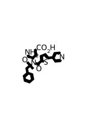 CC(C)(Cc1ccccc1)N(C(=O)c1ccc(-c2ccncc2)s1)C(CCC(=O)O)C(N)=O